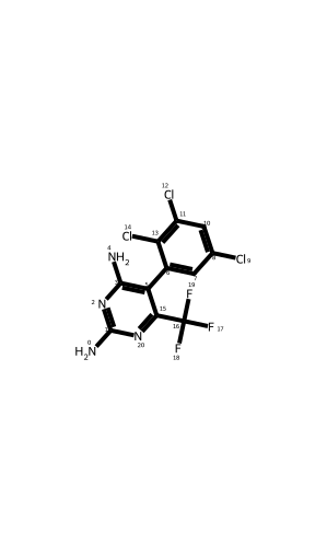 Nc1nc(N)c(-c2cc(Cl)cc(Cl)c2Cl)c(C(F)(F)F)n1